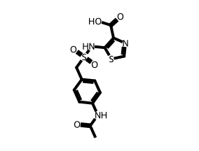 CC(=O)Nc1ccc(CS(=O)(=O)Nc2scnc2C(=O)O)cc1